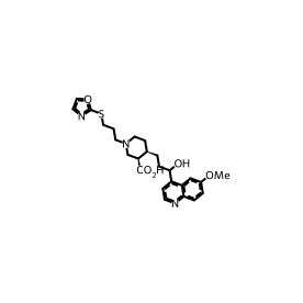 COc1ccc2nccc(C(O)CC[C@@H]3CCN(CCCSc4ncco4)C[C@@H]3C(=O)O)c2c1